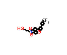 O=c1c2ccc3oc4ccc(-c5ccc(C(F)(F)F)cc5)cc4c4ccc(c(=O)n1CCCCCO)c2c34